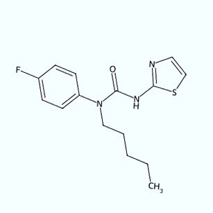 CCCCCN(C(=O)Nc1nccs1)c1ccc(F)cc1